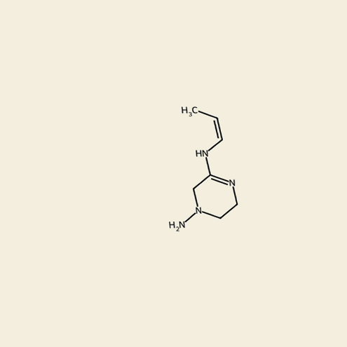 C/C=C\NC1=NCCN(N)C1